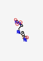 Cc1nnc2n1-c1sc(C#Cc3cnn(CCCC#Cc4cccc5c4CN(C4CCC(=O)N(C)C4=O)C5=O)c3)c(Cc3ccccc3)c1COC2